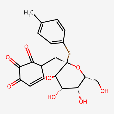 Cc1ccc(S[C@@]2(CC3C=CC(=O)C(=O)C3=O)O[C@H](CO)[C@H](O)[C@H](O)[C@H]2O)cc1